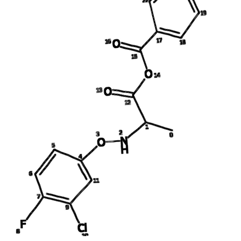 CC(NOc1ccc(F)c(Cl)c1)C(=O)OC(=O)c1ccccc1